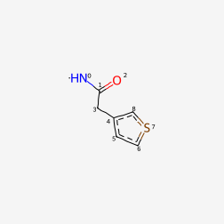 [NH]C(=O)Cc1ccsc1